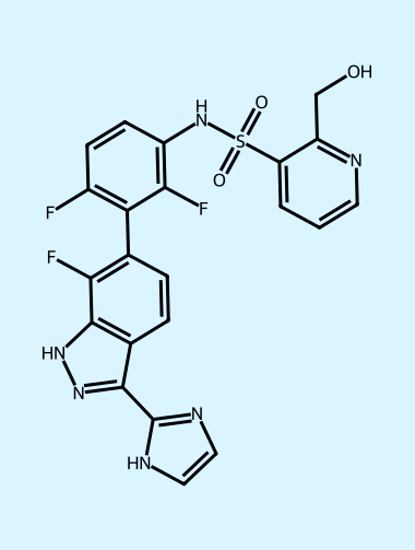 O=S(=O)(Nc1ccc(F)c(-c2ccc3c(-c4ncc[nH]4)n[nH]c3c2F)c1F)c1cccnc1CO